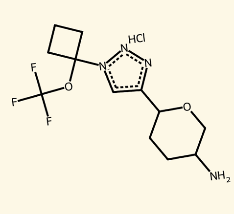 Cl.NC1CCC(c2cn(C3(OC(F)(F)F)CCC3)nn2)OC1